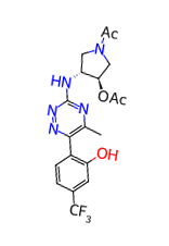 CC(=O)O[C@@H]1CN(C(C)=O)C[C@H]1Nc1nnc(-c2ccc(C(F)(F)F)cc2O)c(C)n1